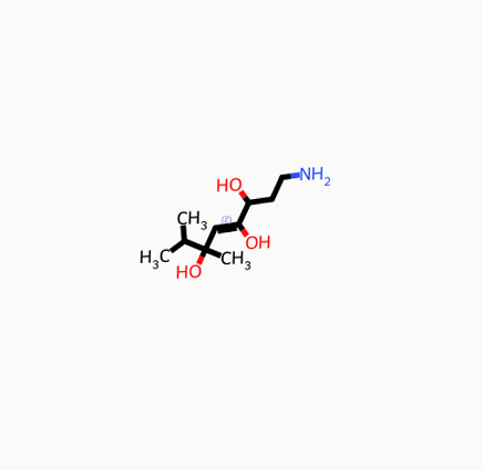 CC(C)C(C)(O)/C=C(\O)C(O)CCN